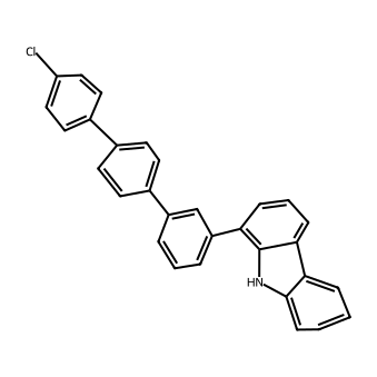 Clc1ccc(-c2ccc(-c3cccc(-c4cccc5c4[nH]c4ccccc45)c3)cc2)cc1